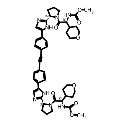 COC(=O)N[C@H](C(=O)N1CCC[C@H]1c1ncc(-c2ccc(C#Cc3ccc(-c4cnc([C@@H]5CCCN5C(=O)[C@@H](NC(=O)OC)C5CCOCC5)[nH]4)cc3)cc2)[nH]1)C1CCOCC1